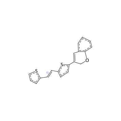 C1=C(c2ccc(/C=C/c3cccs3)s2)COc2ccccc21